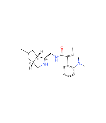 CC=C(C(=O)NC[C@H]1NC[C@@H]2CC(C)C[C@@H]21)c1ccccc1N(C)C